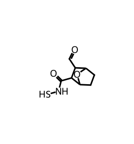 O=CC1C2CCC(O2)C1C(=O)NS